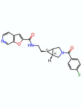 O=C(NCC[C@H]1C2CN(C(=O)c3ccc(F)cc3)C[C@@H]21)c1cc2ccncc2o1